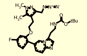 Cc1c(CCOc2cc(F)ccc2-c2ccc3ncc(CCNC(=O)OC(C)(C)C)n3c2)c(CN=[N+]=[N-])nn1C